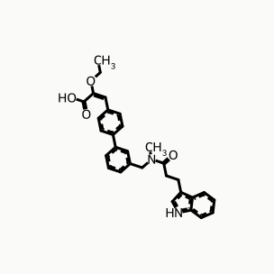 CCO/C(=C/c1ccc(-c2cccc(CN(C)C(=O)CCc3c[nH]c4ccccc34)c2)cc1)C(=O)O